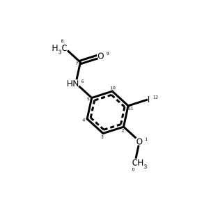 COc1ccc(NC(C)=O)cc1I